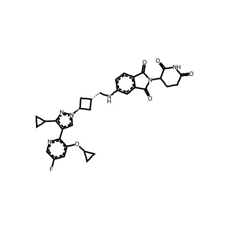 O=C1CCC(N2C(=O)c3ccc(NC[C@H]4C[C@H](n5cc(-c6ncc(F)cc6OC6CC6)c(C6CC6)n5)C4)cc3C2=O)C(=O)N1